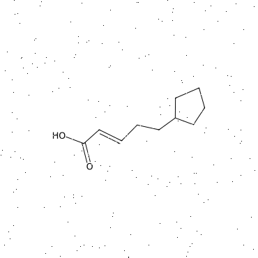 O=C(O)/C=C/CCC1CCCC1